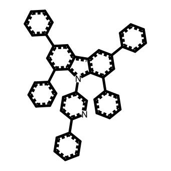 c1ccc(-c2cc(-c3ccccc3)c3c(c2)c2cc(-c4ccccc4)cc(-c4ccccc4)c2n3-c2ccc(-c3ccccc3)nc2)cc1